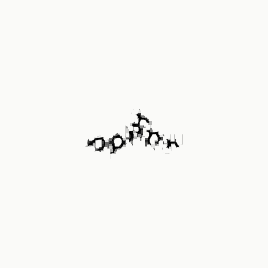 C=CC(=O)Nc1cncc(-n2ccc(=O)c3cnc(Nc4ccc(N5CCN(C)CC5)c(F)c4)nc32)c1